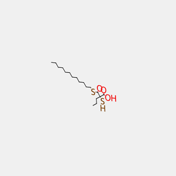 CCCCCCCCCCCCSC(=O)C(S)(CCC)C(=O)O